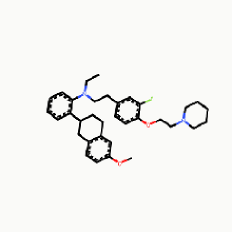 CCN(CCc1ccc(OCCN2CCCCC2)c(F)c1)c1ccccc1C1CCc2cc(OC)ccc2C1